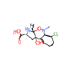 CN1O[C@H]2N[C@H](C(=O)O)C[C@@]2(O)C2=CCCC(Cl)=C21